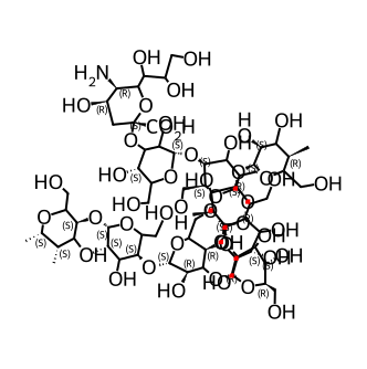 CC1C(O)[C@H](O[C@@H]2OC(CO)[C@H](O)C(O[C@]3(C(=O)O)C[C@@H](O)[C@@H](N)C(C(O)C(O)CO)O3)C2O)[C@H](CO)O[C@H]1O[C@@H]1C(O)[C@H](O)C(CO)O[C@@H]1OCC1O[C@@H](O[C@@H]2C(CO)O[C@@H](O[C@@H]3C(CO)O[C@@H](C)[C@@H](C)C3O)[C@@H](C)C2O)[C@H](O)C(O[C@H]2O[C@H](CO)[C@@H](O)C(O)C2O[C@@H]2OC(CO)[C@H](O[C@@H]3OC(CO)[C@H](C)C(O)[C@@H]3O)C(O)[C@@H]2C)[C@@H]1O